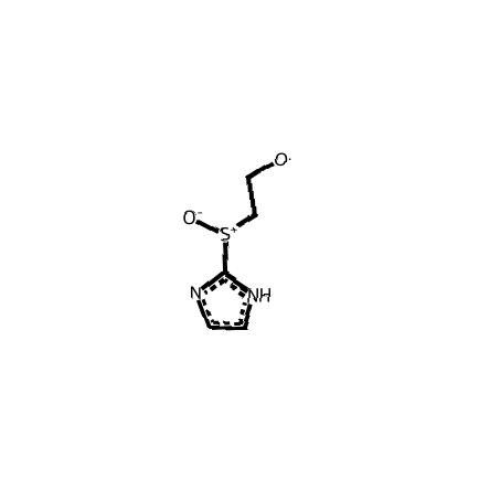 [O]CC[S+]([O-])c1ncc[nH]1